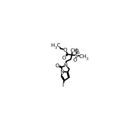 CCOC(=O)C(C)(CCN1Cc2cc(I)cn2C1=O)S(C)(=O)=O